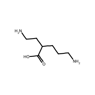 NCCCC(CCN)C(=O)O